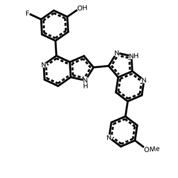 COc1cncc(-c2cnc3[nH]nc(-c4cc5c(-c6cc(O)cc(F)c6)nccc5[nH]4)c3c2)c1